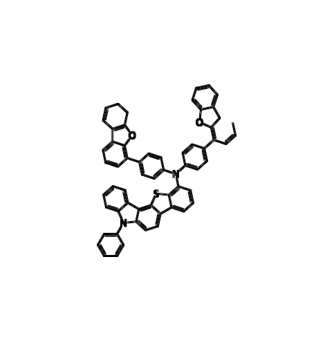 C/C=C\C(=C1/Cc2ccccc2O1)c1ccc(N(c2ccc(-c3cccc4c5c(oc34)CCC=C5)cc2)c2cccc3c2sc2c3ccc3c2c2ccccc2n3-c2ccccc2)cc1